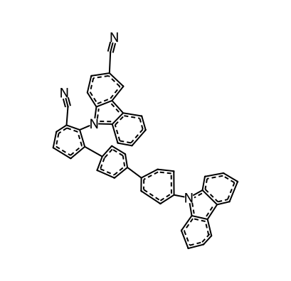 N#Cc1ccc2c(c1)c1ccccc1n2-c1c(C#N)cccc1-c1ccc(-c2ccc(-n3c4ccccc4c4ccccc43)cc2)cc1